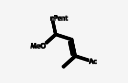 CCCCCC(C=C(C)C(C)=O)OC